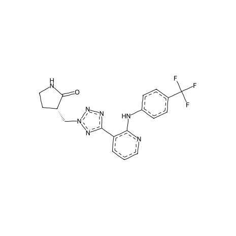 O=C1NCC[C@H]1Cn1nnc(-c2cccnc2Nc2ccc(C(F)(F)F)cc2)n1